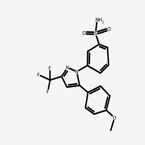 COc1ccc(-c2cc(C(F)(F)F)nn2-c2cccc(S(N)(=O)=O)c2)cc1